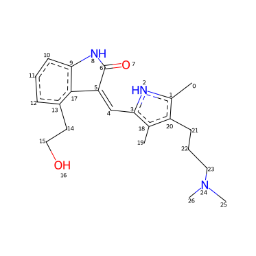 Cc1[nH]c(C=C2C(=O)Nc3cccc(CCO)c32)c(C)c1CCCN(C)C